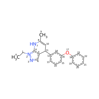 CCn1ncc2c1NC(C)=CC2c1cccc(Oc2ccccc2)c1